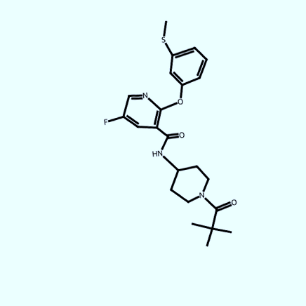 CSc1cccc(Oc2ncc(F)cc2C(=O)NC2CCN(C(=O)C(C)(C)C)CC2)c1